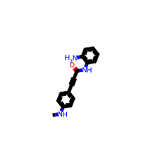 CNc1ccc(C#CC(=O)Nc2ccccc2N)cc1